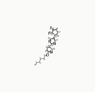 CCCCCCOc1ccc(-c2ncc(-c3cccc(F)c3F)cn2)cn1